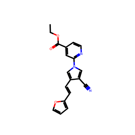 CCOC(=O)c1ccnc(-n2cc(C#N)c(/C=C/c3ccco3)c2)c1